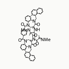 CN[C@@H](C)C(=O)N[C@H]1CN(C(=O)c2ccc(C(=O)N3C[C@H](NC(=O)[C@H](C)NC)C(=O)N(Cc4c(C)ccc5ccccc45)c4ccccc43)cc2)c2ccccc2N(Cc2c(C)ccc3ccccc23)C1=O